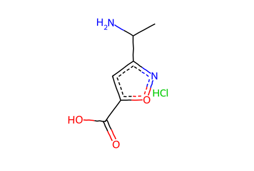 CC(N)c1cc(C(=O)O)on1.Cl